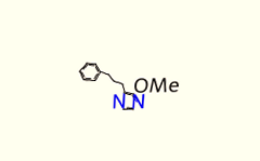 COc1nccnc1CCCc1ccccc1